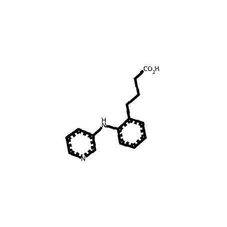 O=C(O)CCCc1ccccc1Nc1cccnc1